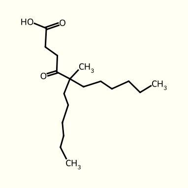 CCCCCCC(C)(CCCCCC)C(=O)CCC(=O)O